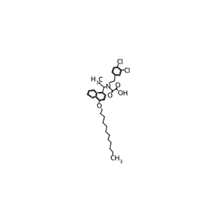 CCCCCCCCCCCCOc1ccc(C(CC)N(CCc2ccc(Cl)c(Cl)c2)C(=O)C(=O)O)c2ccccc12